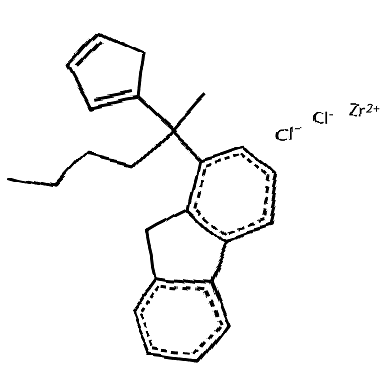 CCCCC(C)(C1=CC=CC1)c1cccc2c1Cc1ccccc1-2.[Cl-].[Cl-].[Zr+2]